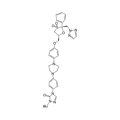 CCC(C)n1ncn(-c2ccc(N3CCN(c4ccc(OC[C@H]5CS(=O)(=O)[C@](Cn6nccn6)(c6ccccc6)O5)cc4)CC3)cc2)c1=O